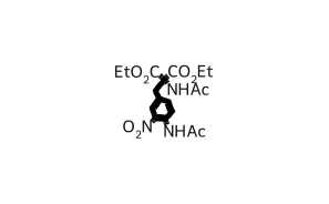 CCOC(=O)C(Cc1ccc(NC(C)=O)c([N+](=O)[O-])c1)(NC(C)=O)C(=O)OCC